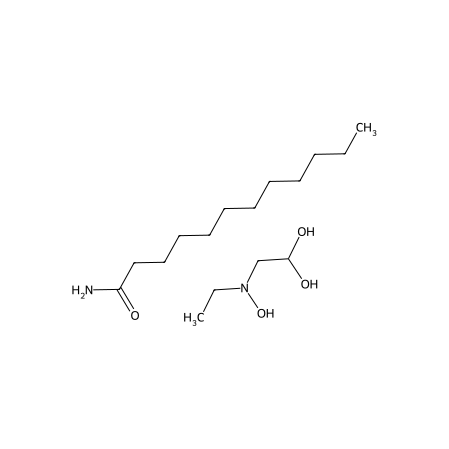 CCCCCCCCCCCC(N)=O.CCN(O)CC(O)O